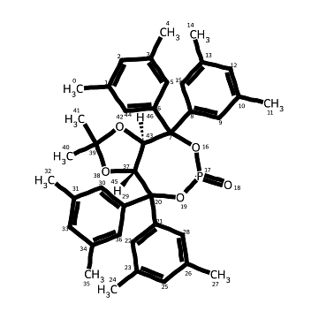 Cc1cc(C)cc(C2(c3cc(C)cc(C)c3)O[P](=O)OC(c3cc(C)cc(C)c3)(c3cc(C)cc(C)c3)[C@@H]3OC(C)(C)O[C@H]32)c1